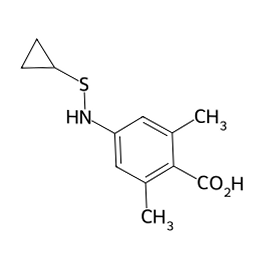 Cc1cc(NSC2CC2)cc(C)c1C(=O)O